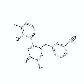 Cc1cccc(-c2cc(=O)c(Br)cn2Cc2cccc(C#N)c2)c1Cl